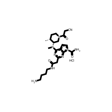 C[C@@H]1CCN(C(=O)CC#N)C[C@@H]1N(C)c1nc(CC(=O)NCCCCN)nc2c1ccn2C(N)=O.Cl